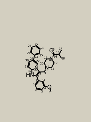 COc1cccc(C2=C(CN3CCN(C(=O)C(C)C)CC3)N3C=C(c4ccccc4)C=CC3N2)c1